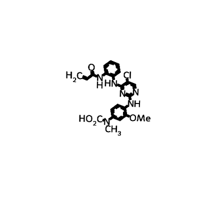 C=CC(=O)Nc1ccccc1Nc1nc(Nc2ccc(N(C)C(=O)O)cc2OC)ncc1Cl